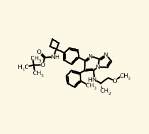 COC[C@H](C)Nc1c(-c2ccccc2C)c(-c2ccc(C3(NC(=O)OC(C)(C)C)CCC3)cc2)nc2nccn12